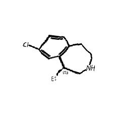 CC[C@@H]1CNCCc2ccc(Cl)cc21